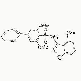 COc1cc(-c2ccccc2)cc(OC)c1S(=O)(=O)Nc1noc2cccc(OC)c12